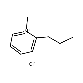 CCCc1cccc[n+]1C.[Cl-]